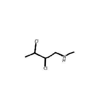 CNCC(Cl)C(C)Cl